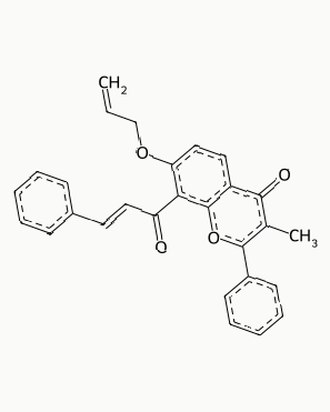 C=CCOc1ccc2c(=O)c(C)c(-c3ccccc3)oc2c1C(=O)C=Cc1ccccc1